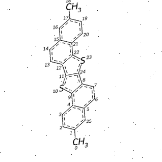 Cc1ccc2c(ccc3c2sc2c4ccc5cc(C)ccc5c4sc32)c1